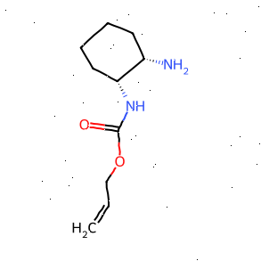 C=CCOC(=O)N[C@@H]1CCCC[C@@H]1N